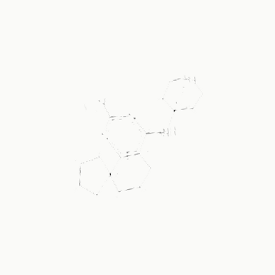 Nc1nc(NC23CCN(CC2)CC3)c2c(n1)C1(CCCC1)CCC2